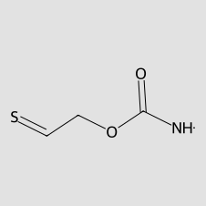 [NH]C(=O)OCC=S